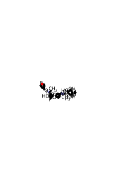 CC/C(=N\OCc1ccc(F)cc1)[C@H]1O[C@@H](Oc2ccc(/C=C(\C)C(=O)N[C@@H]3C(O)C(O)C4OCO[C@H]4[C@@H]3O)cc2F)[C@@H](F)[C@@H]1O